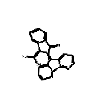 N#CC(C#N)=C1C(=C2c3cccnc3-c3ncccc32)C(=O)c2ccccc21